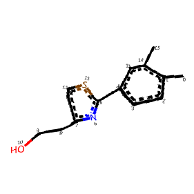 Cc1ccc(-c2nc(CCO)cs2)cc1C